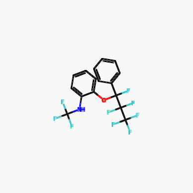 FC(F)(F)Nc1ccccc1OC(F)(c1ccccc1)C(F)(F)C(F)(F)F